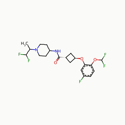 CC(C(F)F)N1CCC(NC(=O)[C@H]2C[C@H](Oc3cc(F)ccc3OC(F)F)C2)CC1